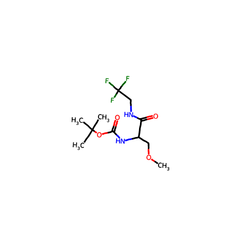 COCC(NC(=O)OC(C)(C)C)C(=O)NCC(F)(F)F